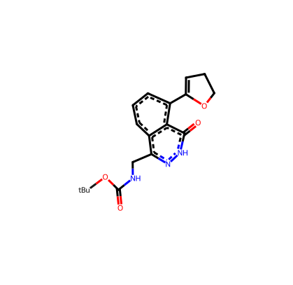 CC(C)(C)OC(=O)NCc1n[nH]c(=O)c2c(C3=CCCO3)cccc12